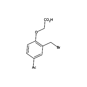 CC(=O)c1ccc(OCC(=O)O)c(CBr)c1